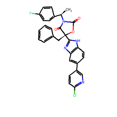 C[C@H](c1ccc(F)cc1)N1C(=O)O[C@](Cc2ccccc2)(c2nc3cc(-c4ccc(Cl)nc4)ccc3[nH]2)C1=O